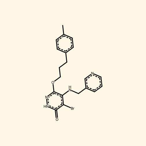 Cc1ccc(CCCOc2n[nH]c(=O)c(Br)c2NCc2cccnc2)cc1